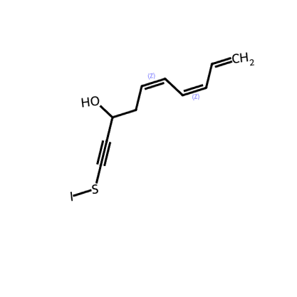 C=C/C=C\C=C/CC(O)C#CSI